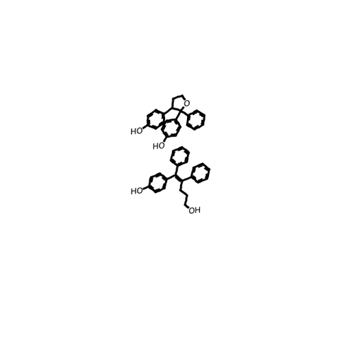 OCCCC(=C(c1ccccc1)c1ccc(O)cc1)c1ccccc1.Oc1ccc(C2CCOC2(c2ccccc2)c2ccc(O)cc2)cc1